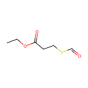 CCOC(=O)CCSC=O